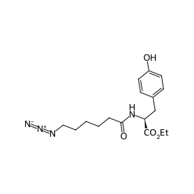 CCOC(=O)[C@H](Cc1ccc(O)cc1)NC(=O)CCCCCN=[N+]=[N-]